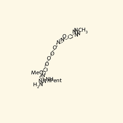 CCCCCNc1nc(N)nc2ccn(Cc3ccc(COCCOCCOCCOCCN4CCN(C(=O)Cc5ccc(-c6nnc(C)nn6)cc5)CC4)cc3OC)c12